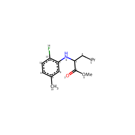 COC(=O)C(CC(C)C)Nc1cc(C)ccc1F